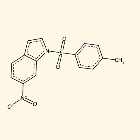 Cc1ccc(S(=O)(=O)n2ccc3ccc([N+](=O)[O-])cc32)cc1